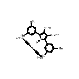 CCCCCCC1=C(c2cc(CCCC)cc(CCCC)c2)[N+](=[N-])C(c2cc(CCCC)cc(CCCC)c2)=C1CCCCC.CCCCCCCCCC#[C][Ni][C]#CCCCCCCCCC